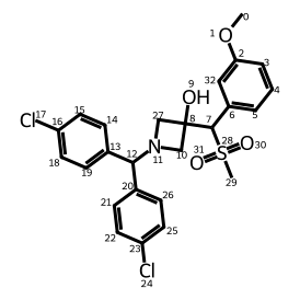 COc1cccc(C(C2(O)CN(C(c3ccc(Cl)cc3)c3ccc(Cl)cc3)C2)S(C)(=O)=O)c1